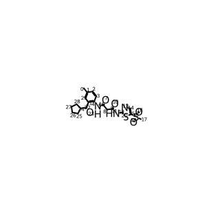 Cc1ccc(NC(=O)CC(=O)Nc2ncc(S(C)(=O)=O)s2)c(C(=O)C2CCCC2)c1